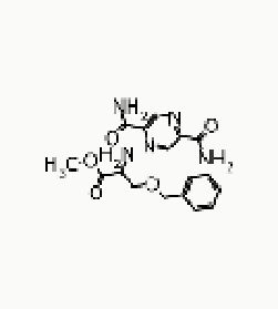 COC(=O)[C@@H](N)COCc1ccccc1.NC(=O)c1cnc(C(N)=O)cn1